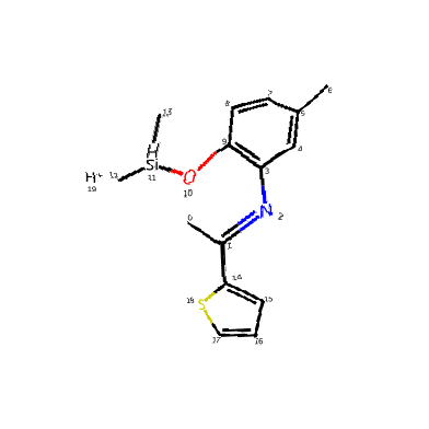 CC(=Nc1cc(C)ccc1O[SiH](C)C)c1cccs1.[H+]